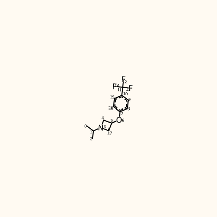 CC(C)N1CC(Oc2ccc(C(F)(F)F)cc2)C1